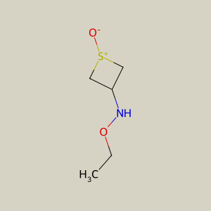 CCONC1C[S+]([O-])C1